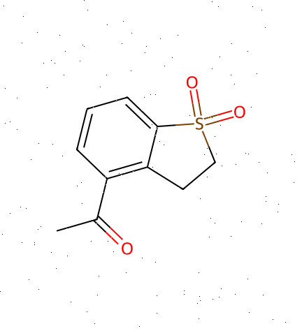 CC(=O)c1cccc2c1CCS2(=O)=O